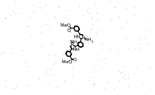 COC(=O)c1cccc(C2=CN(N)C(c3cccc(C4NC(c5cccc(C(=O)OC)c5)=CN4N)c3)N2)c1